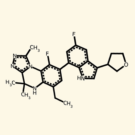 CCc1cc(-c2cc(F)cc3c(C4CCOC4)c[nH]c23)c(F)c2c1NC(C)(C)c1nnc(C)n1-2